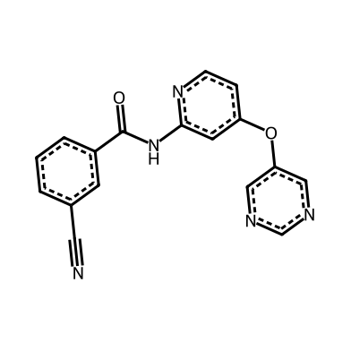 N#Cc1cccc(C(=O)Nc2cc(Oc3cncnc3)ccn2)c1